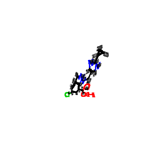 O=C(O)c1cc(Cl)cc2cnn(Cc3cnc(C4CC4)nc3)c12